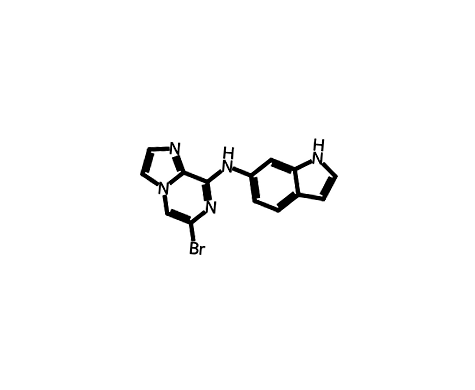 Brc1cn2ccnc2c(Nc2ccc3cc[nH]c3c2)n1